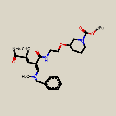 CNC(=O)/C(C=O)=C/C(=C\N(C)Cc1ccccc1)C(=O)NCCOC1CCCN(C(=O)OC(C)(C)C)C1